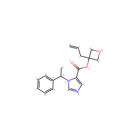 C=CCC1(OC(=O)c2cncn2C(C)c2ccccc2)COC1